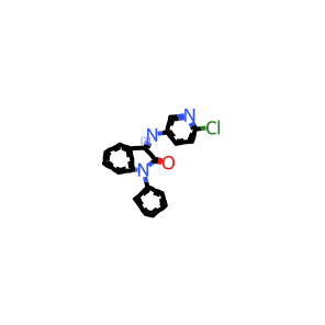 O=C1/C(=N\c2ccc(Cl)nc2)c2ccccc2N1c1ccccc1